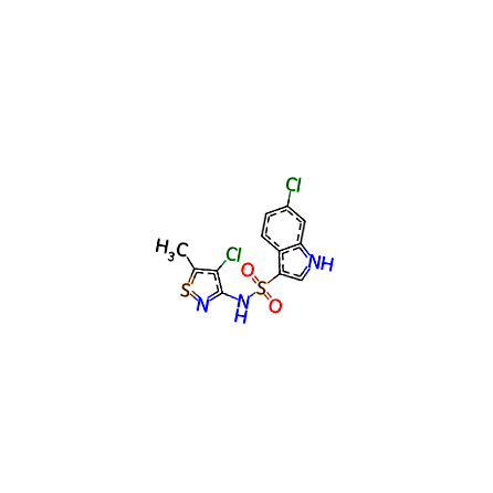 Cc1snc(NS(=O)(=O)c2c[nH]c3cc(Cl)ccc23)c1Cl